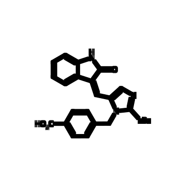 CCCCc1ncc(C=C2C(=O)Nc3ccccc32)n1Cc1ccc(C(=O)O)cc1